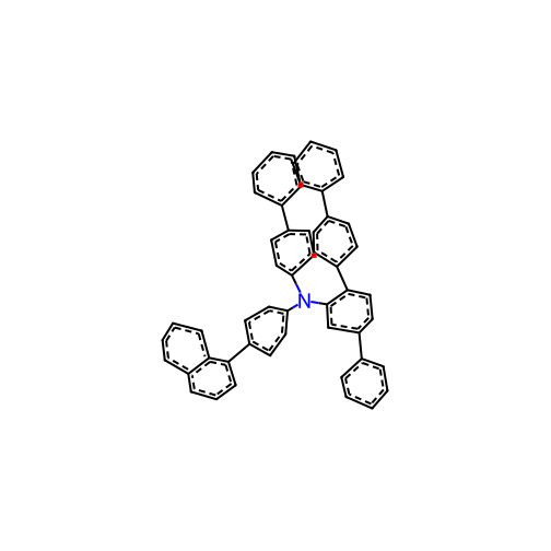 c1ccc(-c2ccc(-c3ccc(-c4ccccc4)cc3N(c3ccc(-c4ccccc4)cc3)c3ccc(-c4cccc5ccccc45)cc3)cc2)cc1